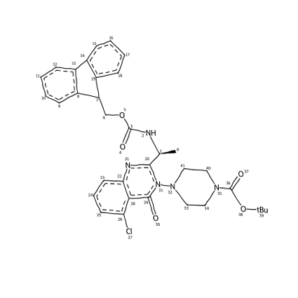 C[C@H](NC(=O)OCC1c2ccccc2-c2ccccc21)c1nc2cccc(Cl)c2c(=O)n1N1CCN(C(=O)OC(C)(C)C)CC1